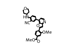 COC(=O)c1ccc(-c2cc3nccc(-c4ccc(NC5CCOCC5)c(C#N)c4)c3o2)c(OC)c1